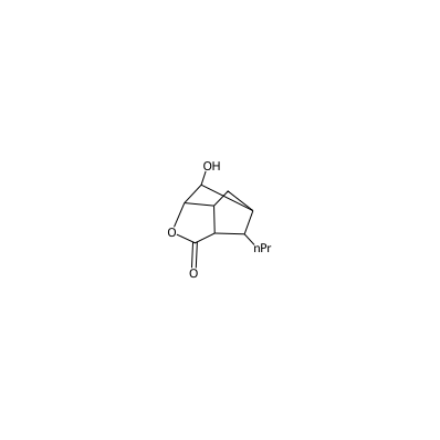 CCCC1C2CC3C(OC(=O)C13)C2O